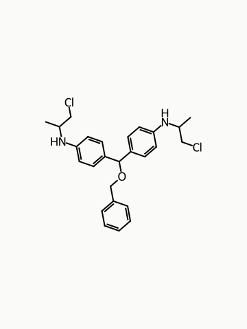 CC(CCl)Nc1ccc(C(OCc2ccccc2)c2ccc(NC(C)CCl)cc2)cc1